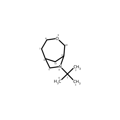 CC(C)(C)N1CC2CCOCC1C2